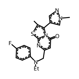 CCN(Cc1cc(=O)n2c(-c3cnn(C)c3)c(C)sc2n1)c1ccc(F)cc1